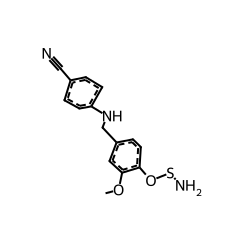 COc1cc(CNc2ccc(C#N)cc2)ccc1OSN